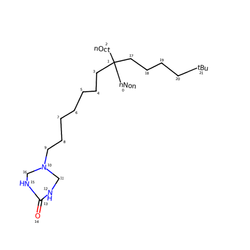 CCCCCCCCCC(CCCCCCCC)(CCCCCCCN1CNC(=O)NC1)CCCCC(C)(C)C